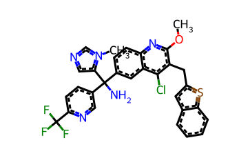 COc1nc2ccc(C(N)(c3ccc(C(F)(F)F)nc3)c3cncn3C)cc2c(Cl)c1Cc1cc2ccccc2s1